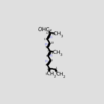 C=CC(=C)/C=C/C=C(C)/C=C/C=C(\C)C=O